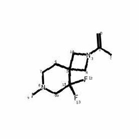 C=C(C)N1CC2(CCN(I)CC2(F)F)C1